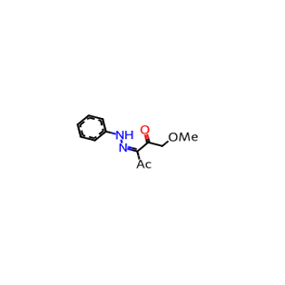 COCC(=O)/C(=N\Nc1ccccc1)C(C)=O